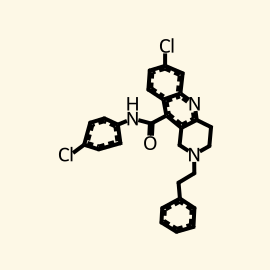 O=C(Nc1ccc(Cl)cc1)c1c2c(nc3cc(Cl)ccc13)CCN(CCc1ccccc1)C2